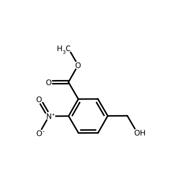 COC(=O)c1cc(CO)ccc1[N+](=O)[O-]